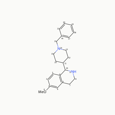 COc1ccc2c(c1)CCNC2C1CCN(Cc2ccccc2)CC1